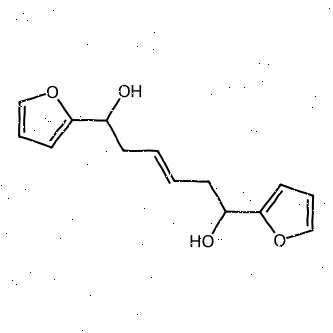 OC(CC=CCC(O)c1ccco1)c1ccco1